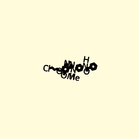 COc1cc2c(Nc3ccc(NC(=O)c4ccccc4)cc3)ncnc2cc1OCCCCl